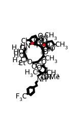 CC[C@H]1OC(=O)[C@H](C)[C@@H](O[C@H]2C[C@@](C)(OC)[C@](O)(CNCCc3ccc(C(F)(F)F)cc3)[C@H](C)O2)[C@H](C)[C@@H](O[C@@H]2O[C@H](C)C[C@H](N(C)S(=O)(=O)c3ccc(Cl)cc3)[C@H]2O)[C@](C)(O)C[C@@H](C)CN[C@H](C)[C@@H](O)[C@]1(C)O